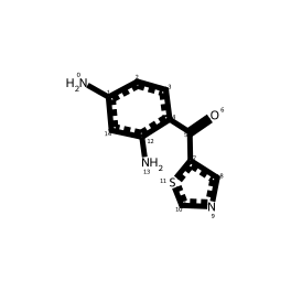 Nc1ccc(C(=O)c2cncs2)c(N)c1